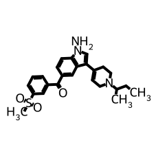 CCC(C)N1CC=C(c2cn(N)c3ccc(C(=O)c4cccc(S(C)(=O)=O)c4)cc23)CC1